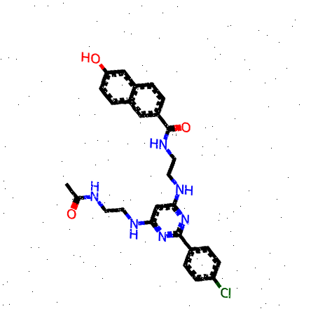 CC(=O)NCCNc1cc(NCCNC(=O)c2ccc3cc(O)ccc3c2)nc(-c2ccc(Cl)cc2)n1